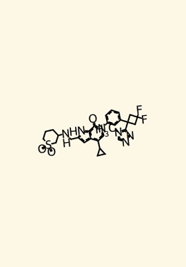 Cn1cnnc1C1(c2cccc(-n3cc(C4CC4)c4cc(CNC5CCCS(=O)(=O)C5)[nH]c4c3=O)c2)CC(F)(F)C1